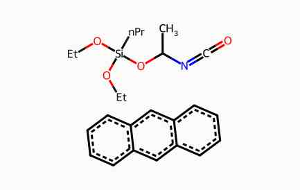 CCC[Si](OCC)(OCC)OC(C)N=C=O.c1ccc2cc3ccccc3cc2c1